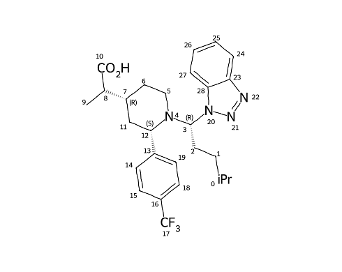 CC(C)CC[C@H](N1CC[C@@H](C(C)C(=O)O)C[C@H]1c1ccc(C(F)(F)F)cc1)n1nnc2ccccc21